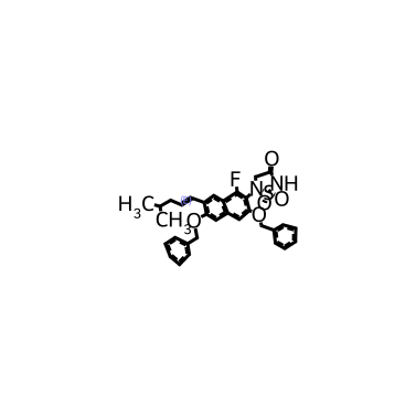 CC(C)C/C=C/c1cc2c(F)c(N3CC(=O)NS3(=O)=O)c(OCc3ccccc3)cc2cc1OCc1ccccc1